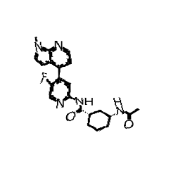 CC(=O)N[C@@H]1CCC[C@H](C(=O)Nc2cc(-c3ccnc4c3ccn4C)c(F)cn2)C1